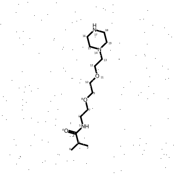 CC(C)C(=O)NCCOCCOCCN1CCNCC1